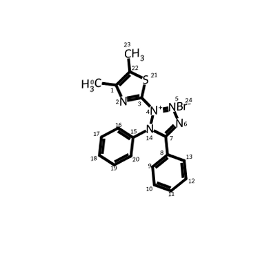 Cc1nc(-[n+]2nnc(-c3ccccc3)n2-c2ccccc2)sc1C.[Br-]